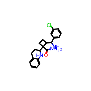 NC(=O)C1(C2CCc3ccccc3N2)CCC1C(N)c1cccc(Cl)c1